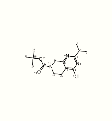 CC(C)c1nc(Cl)c2c(n1)CN(C(=O)OC(C)(C)C)CC2